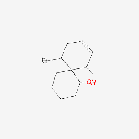 CCC1CC=CC(C)C12CCCCC2O